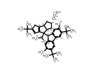 Cc1cc2c(cc1C(C)(C)C)-c1cc(C(C)(C)C)c(C)cc1C2C1(C(C)C)C2=C(CC(C(C)(C)C)=C2)C2CCCC21.[Cl-].[Cl-].[Zr+2]